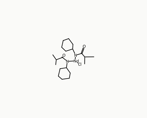 CC(C)C(=O)[N](C1CCCCC1)[Nd]([Cl])[N](C(=O)C(C)C)C1CCCCC1